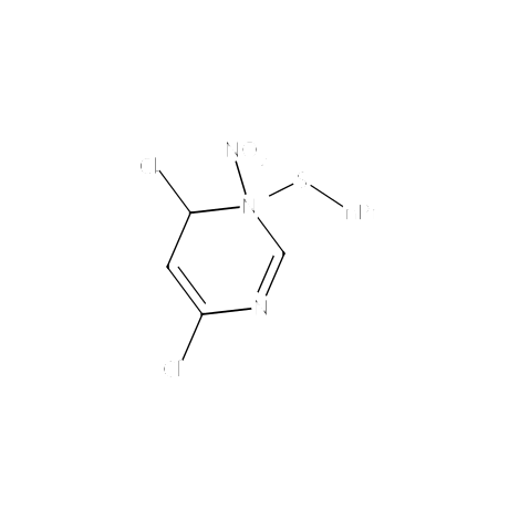 CCCS[N+]1([N+](=O)[O-])C=NC(Cl)=CC1Cl